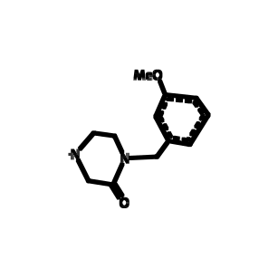 COc1cccc(CN2CC[N]CC2=O)c1